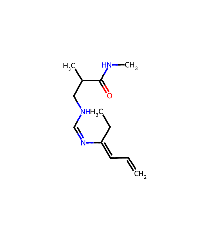 C=C/C=C(CC)/N=C\NCC(C)C(=O)NC